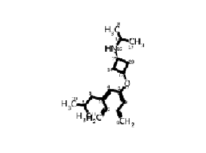 C=C/C=C(\C=C(/C=C)CC(C)C)O[C@H]1C[C@@H](NC(C)C)C1